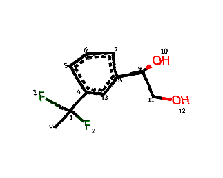 CC(F)(F)c1cccc([C@@H](O)CO)c1